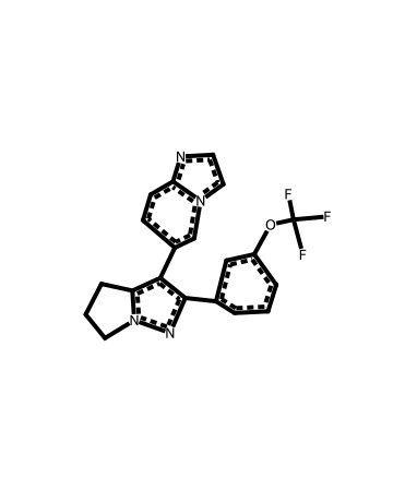 FC(F)(F)Oc1cccc(-c2nn3c(c2-c2ccc4nccn4c2)CCC3)c1